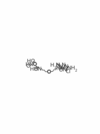 NC(=NC(=O)c1nc(Cl)c(N)nc1N)NCCCCc1ccc(CCCCNC[C@H](O)c2ccc(O)c(NC=O)c2)cc1